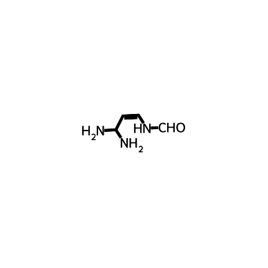 NC(N)/C=C\NC=O